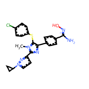 Cn1c(-c2ccn(C3CC3)n2)nc(-c2ccc(/C(N)=N\O)cc2)c1Sc1ccc(Cl)cc1